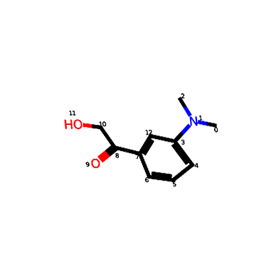 CN(C)c1cccc(C(=O)CO)c1